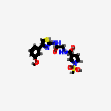 COc1cccc(-c2csc(NC(=O)CNC(=O)c3ccn(S(C)(=O)=O)c3)n2)c1